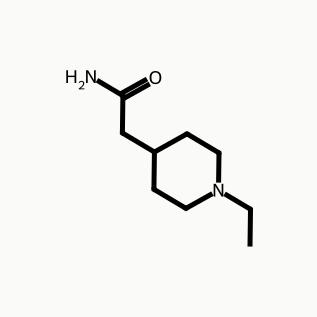 CCN1CCC(CC(N)=O)CC1